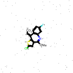 COC1=Nc2cc(F)ccc2C(=CC(=O)O)c2sc(Cl)cc21